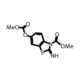 COC(=O)Oc1ccc2c(c1)sc(=N)n2C(=O)OC